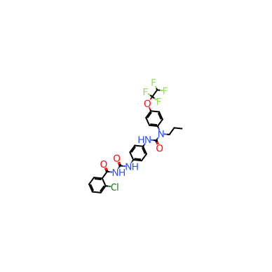 CCCN(C(=O)Nc1ccc(NC(=O)NC(=O)c2ccccc2Cl)cc1)c1ccc(OC(F)(F)C(F)F)cc1